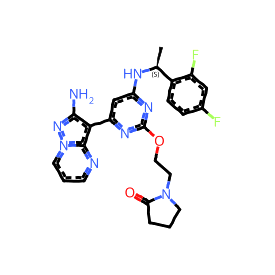 C[C@H](Nc1cc(-c2c(N)nn3cccnc23)nc(OCCN2CCCC2=O)n1)c1ccc(F)cc1F